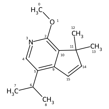 COc1ncc(C(C)C)c2c1C(C)(C)C=C2